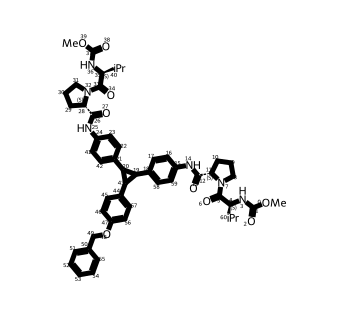 COC(=O)N[C@H](C(=O)N1CCC[C@H]1C(=O)Nc1ccc(C2C(c3ccc(NC(=O)[C@@H]4CCCN4C(=O)[C@@H](NC(=O)OC)C(C)C)cc3)C2c2ccc(OCc3ccccc3)cc2)cc1)C(C)C